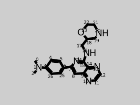 CN(C)c1ccc(-c2cc3nccnc3c(NCC3CNCCO3)n2)cc1